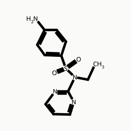 CCN(c1ncccn1)S(=O)(=O)c1ccc(N)cc1